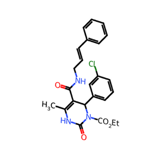 CCOC(=O)N1C(=O)NC(C)=C(C(=O)NCC=Cc2ccccc2)C1c1cccc(Cl)c1